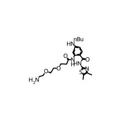 CCCCNc1ccc(C(=O)Nc2nc(C)c(C)s2)c(NC(=O)CCOCCOCCN)c1